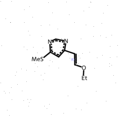 CCO/C=C/c1cc(SC)ncn1